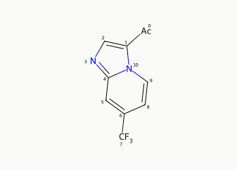 CC(=O)c1cnc2cc(C(F)(F)F)ccn12